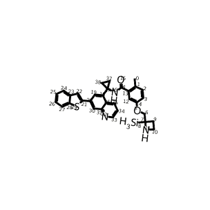 Cc1ccc(OCC2([SiH3])CCN2)cc1C(=O)NC1(c2cc(-c3cc4ccccc4s3)cc3ncccc23)CC1